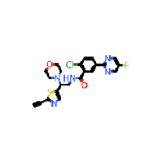 C#Cc1ncc(C(CNC(=O)c2cc(-c3ncc(F)cn3)ccc2Cl)N2CCOCC2)s1